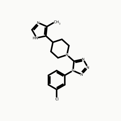 Cc1nc[nH]c1C1CCN(c2nnnn2-c2cccc(Cl)c2)CC1